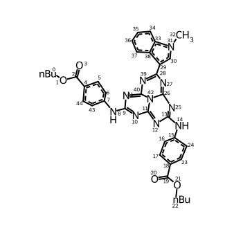 CCCCOC(=O)c1ccc(NC2=NC3=NC(Nc4ccc(C(=O)OCCCC)cc4)=NC4=NC(c5cn(C)c6ccccc56)=NC(=N2)N34)cc1